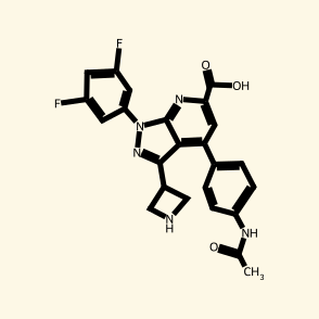 CC(=O)Nc1ccc(-c2cc(C(=O)O)nc3c2c(C2CNC2)nn3-c2cc(F)cc(F)c2)cc1